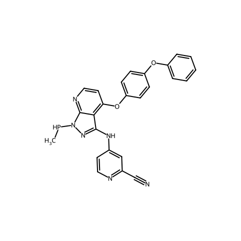 CPn1nc(Nc2ccnc(C#N)c2)c2c(Oc3ccc(Oc4ccccc4)cc3)ccnc21